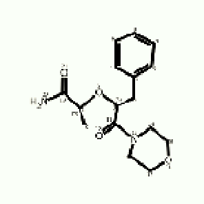 C[C@H](O[C@@H](Cc1ccccc1)C(=O)N1CCOCC1)C(N)=O